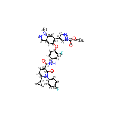 CCn1ncc2cc(Oc3ccc(NC(=O)c4ccc(C5CC5)n(-c5ccc(F)cc5)c4=O)cc3F)c(-c3cnn(C(=O)OC(C)(C)C)c3)cc21